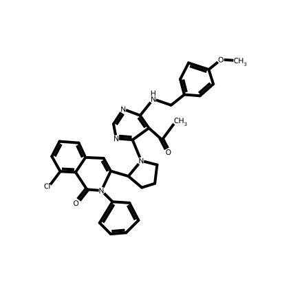 COc1ccc(CNc2ncnc(N3CCCC3c3cc4cccc(Cl)c4c(=O)n3-c3ccccc3)c2C(C)=O)cc1